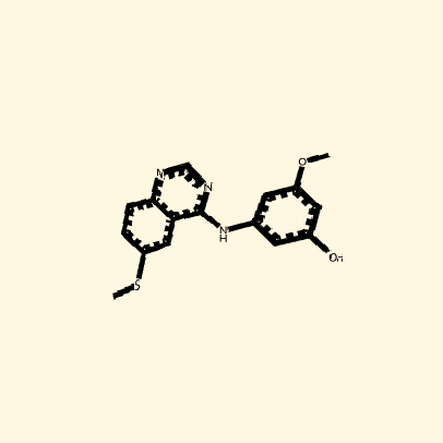 COc1cc(O)cc(Nc2ncnc3ccc(SC)cc23)c1